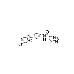 O=C(NCc1ccc(-c2nc3cnc(Cl)cc3o2)cc1)c1ccc2nccn2c1